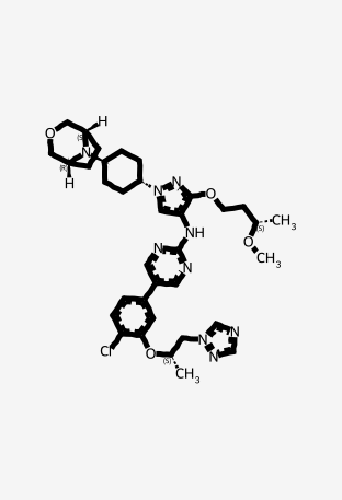 CO[C@@H](C)CCOc1nn([C@H]2CC[C@H](N3[C@@H]4CC[C@H]3COC4)CC2)cc1Nc1ncc(-c2ccc(Cl)c(O[C@@H](C)Cn3cncn3)c2)cn1